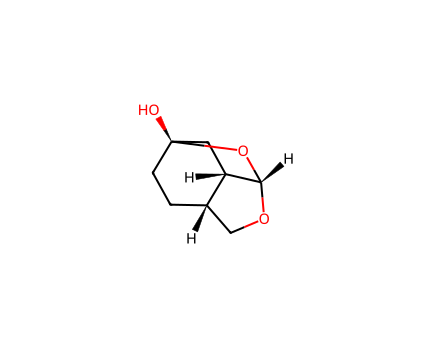 O[C@]12CC[C@H]3CO[C@@H](O1)[C@H]3C2